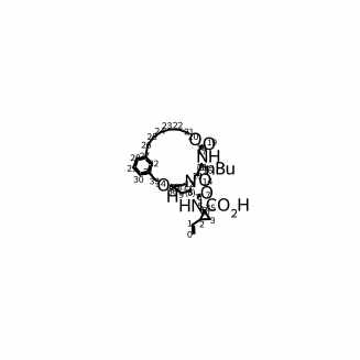 C=CC1C[C@]1(NC(=O)[C@@H]1C[C@@H]2CN1C(=O)[C@H](CCCC)NC(=O)OCCCCCCc1cccc(c1)CO2)C(=O)O